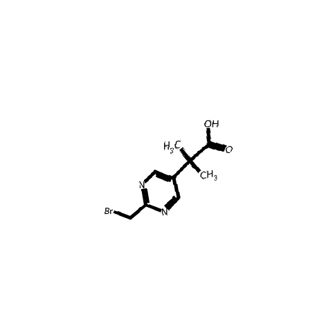 CC(C)(C(=O)O)c1cnc(CBr)nc1